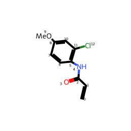 C=CC(=O)Nc1ccc(OC)cc1Cl